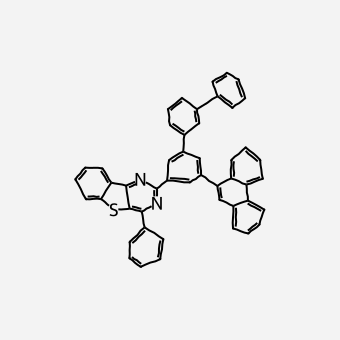 c1ccc(-c2cccc(-c3cc(-c4nc(-c5ccccc5)c5sc6ccccc6c5n4)cc(-c4cc5ccccc5c5ccccc45)c3)c2)cc1